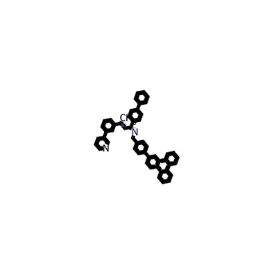 C/C(=C\C(=N/Cc1ccc(-c2ccc3c4ccccc4c4ccccc4c3c2)cc1)c1ccc(-c2ccccc2)cc1)c1cccc(-c2cccnc2)c1